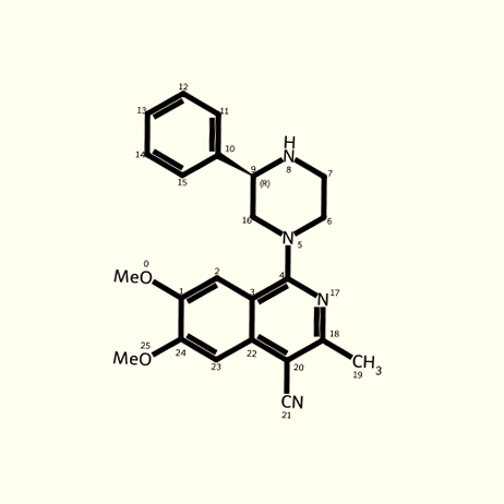 COc1cc2c(N3CCN[C@H](c4ccccc4)C3)nc(C)c(C#N)c2cc1OC